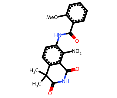 COc1ccccc1C(=O)Nc1ccc2c(c1[N+](=O)[O-])C(=O)NC(=O)C2(C)C